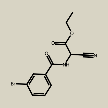 CCOC(=O)C(C#N)NC(=O)c1cccc(Br)c1